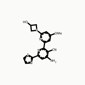 COc1cc(-c2nc(-c3nccs3)cc(N)c2C#N)nc(N2CC(O)C2)c1